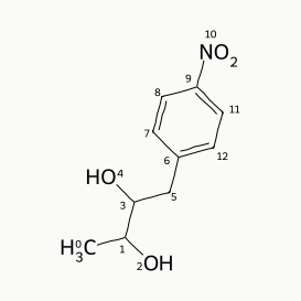 CC(O)C(O)Cc1ccc([N+](=O)[O-])cc1